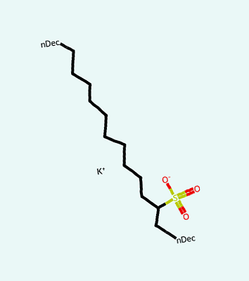 CCCCCCCCCCCCCCCCCCCCC(CCCCCCCCCCC)S(=O)(=O)[O-].[K+]